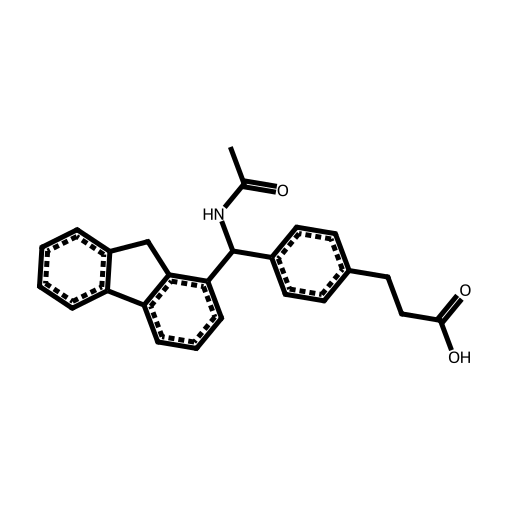 CC(=O)NC(c1ccc(CCC(=O)O)cc1)c1cccc2c1Cc1ccccc1-2